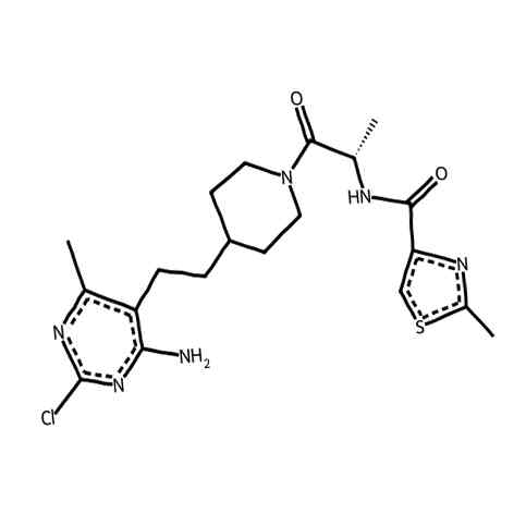 Cc1nc(C(=O)N[C@@H](C)C(=O)N2CCC(CCc3c(C)nc(Cl)nc3N)CC2)cs1